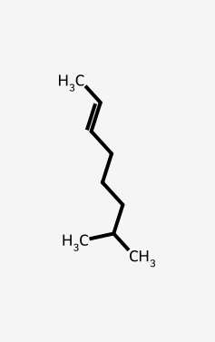 CC=CCCCC(C)C